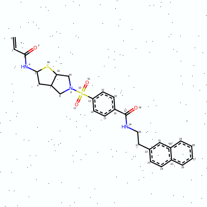 C=CC(=O)NC1CC2CN(S(=O)(=O)c3ccc(C(=O)NCCc4ccc5ccccc5c4)cc3)CC2S1